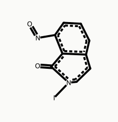 O=Nc1cccc2ccn(I)c(=O)c12